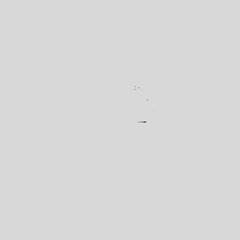 COc1cccc(OC)c1-c1cccc2c1[P@](C(C)(C)C)[C@@H](CC13CC4CC(CC(C4)C1)C3)N2c1ccccc1